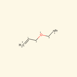 C=CCOCC[CH]C